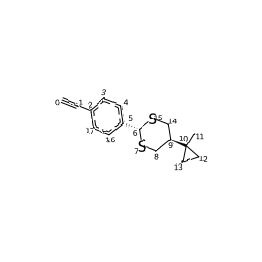 C#Cc1ccc([C@H]2SC[C@H](C3(C)CC3)CS2)cc1